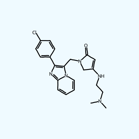 CN(C)CCNC1=CC(=O)N(Cc2c(-c3ccc(Cl)cc3)nc3ccccn23)C1